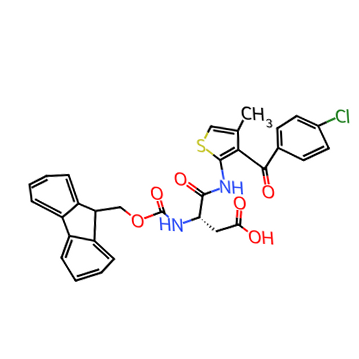 Cc1csc(NC(=O)[C@H](CC(=O)O)NC(=O)OCC2c3ccccc3-c3ccccc32)c1C(=O)c1ccc(Cl)cc1